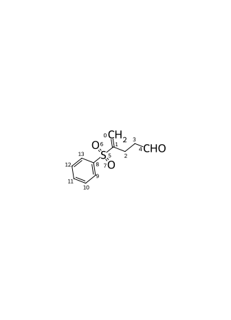 C=C(CCC=O)S(=O)(=O)c1ccccc1